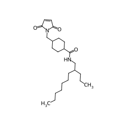 CCCCCCCC(CCC)CNC(=O)C1CCC(CN2C(=O)C=CC2=O)CC1